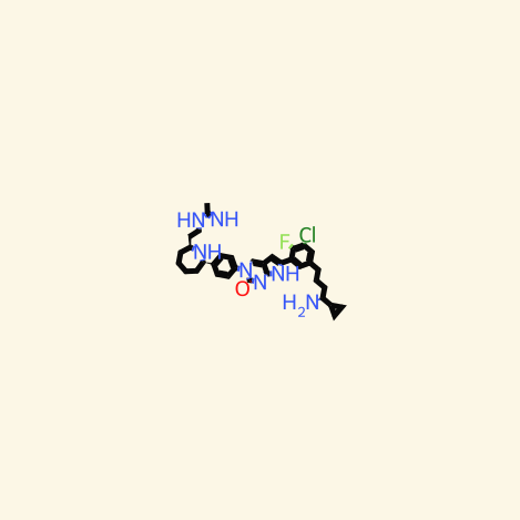 CC(=N)NCC[C@@H]1CCCC[C@@H](c2ccc(-n3cc4cc(-c5cc(CCC[C@@H](N)C6CC6)cc(Cl)c5F)[nH]c4nc3=O)cc2)N1